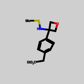 CCOC(=O)Cc1ccc(C2(NSC(C)(C)C)COC2)cc1